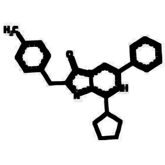 Cc1ccc(Cc2nc3c(C4CCCC4)[nH]c(-c4ccccc4)cn-3c2=O)cc1